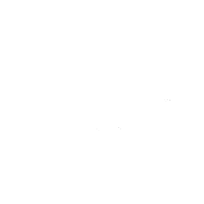 CSc1c(F)cc(NC(=O)NC(c2ccc(C(=O)O)cc2)c2ccc(C3CCCCC3)cc2)c(F)c1F